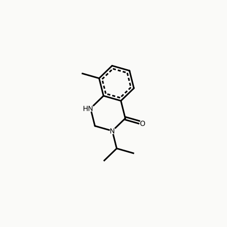 Cc1cccc2c1NCN(C(C)C)C2=O